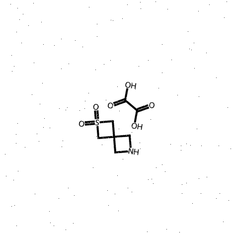 O=C(O)C(=O)O.O=S1(=O)CC2(CNC2)C1